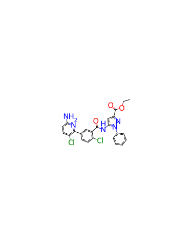 CCOC(=O)c1cc(NC(=O)c2cc(-c3nc(N)ccc3Cl)ccc2Cl)n(-c2ccccc2)n1